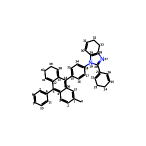 Cc1ccc2c(-c3ccccc3)c3c(c(-c4ccc(-n5c(C6=CCCC=C6)nc6c5C=CCC6)cc4)c2c1)=CCCC=3